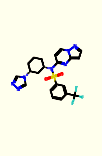 O=S(=O)(c1cccc(C(F)(F)F)c1)N(c1ccn2nccc2n1)[C@H]1CCC[C@@H](n2cnnc2)C1